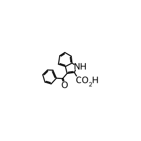 O=C(O)c1[nH]c2ccccc2c1C(=O)c1ccccc1